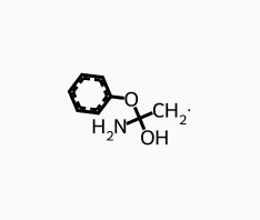 [CH2]C(N)(O)Oc1ccccc1